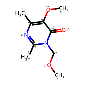 COCn1c(C)nc(C)c(OC)c1=O